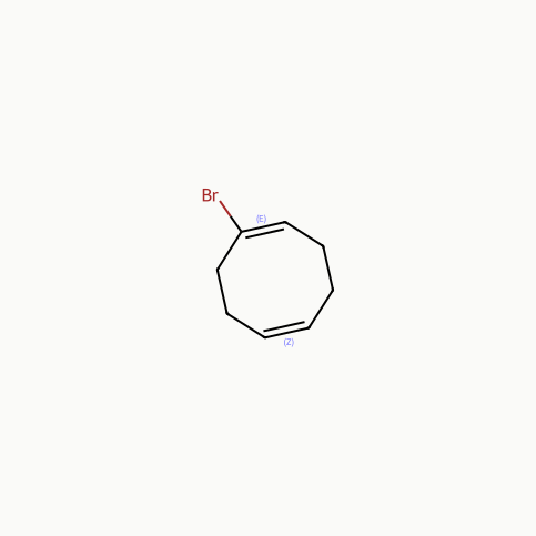 Br/C1=C/CC/C=C\CC1